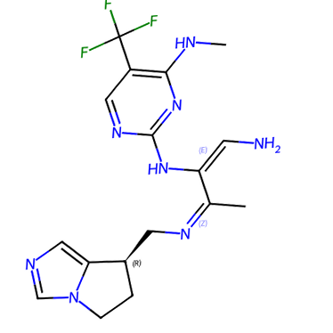 CNc1nc(NC(=C/N)/C(C)=N\C[C@H]2CCn3cncc32)ncc1C(F)(F)F